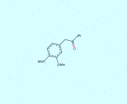 COc1ccc(CC(=O)C(C)C)cc1OC